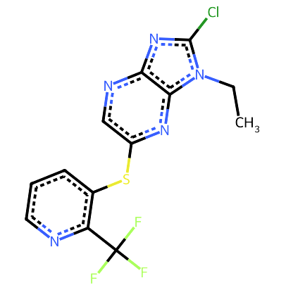 CCn1c(Cl)nc2ncc(Sc3cccnc3C(F)(F)F)nc21